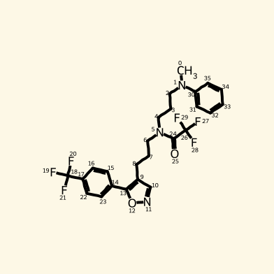 CN(CCCN(CCCc1cnoc1-c1ccc(C(F)(F)F)cc1)C(=O)C(F)(F)F)c1ccccc1